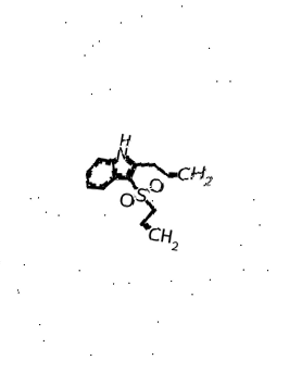 C=CCc1[nH]c2ccccc2c1S(=O)(=O)CC=C